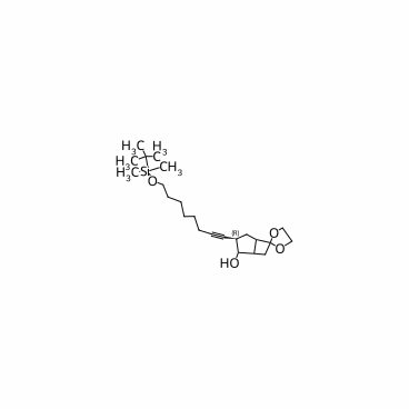 CC(C)(C)[Si](C)(C)OCCCCCCC#C[C@H]1CC2C(CC23OCCO3)C1O